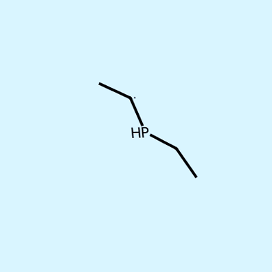 C[CH]PCC